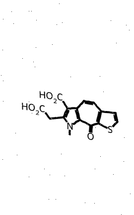 Cn1c(CC(=O)O)c(C(=O)O)c2ccc3ccsc3c(=O)c21